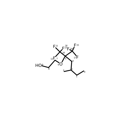 CCC(C)CC(OCCO)(C(F)(F)F)C(F)(F)F